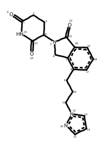 O=C1CCC(N2Cc3c(CCCn4cccn4)cccc3C2=O)C(=O)N1